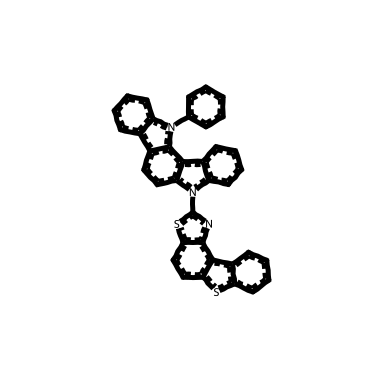 c1ccc(-n2c3ccccc3c3ccc4c(c5ccccc5n4-c4nc5c(ccc6sc7ccccc7c65)s4)c32)cc1